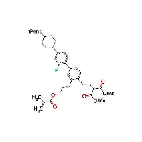 C=C(C)C(=O)OCCCc1cc(-c2ccc(C3CCC(CCCCC)CC3)cc2F)ccc1CCC(C(=O)OC)C(=O)OC